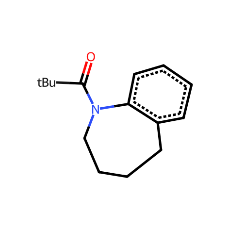 CC(C)(C)C(=O)N1CCCCc2ccccc21